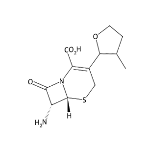 CC1CCOC1C1=C(C(=O)O)N2C(=O)[C@@H](N)[C@H]2SC1